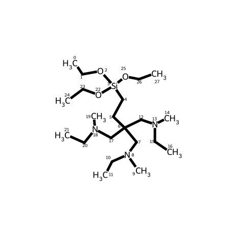 CCO[Si](CCC(CN(C)CC)(CN(C)CC)CN(C)CC)(OCC)OCC